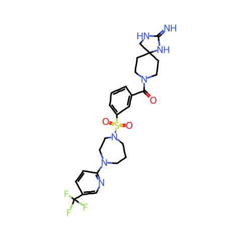 N=C1NCC2(CCN(C(=O)c3cccc(S(=O)(=O)N4CCCN(c5ccc(C(F)(F)F)cn5)CC4)c3)CC2)N1